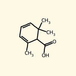 CC1=CC=CC(C)(C)C1C(=O)O